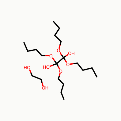 CCCCOC(O)(OCCCC)C(O)(OCCCC)OCCCC.OCCO